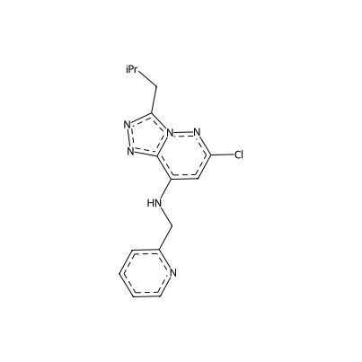 CC(C)Cc1nnc2c(NCc3ccccn3)cc(Cl)nn12